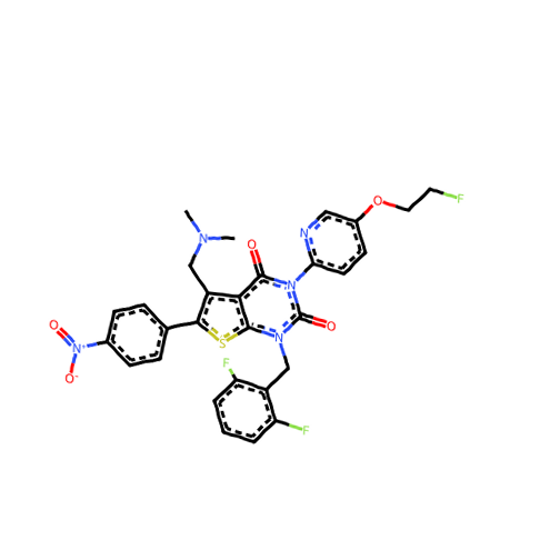 CN(C)Cc1c(-c2ccc([N+](=O)[O-])cc2)sc2c1c(=O)n(-c1ccc(OCCF)cn1)c(=O)n2Cc1c(F)cccc1F